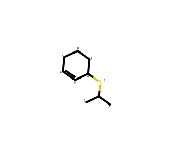 CC(C)SC1C=CCCC1